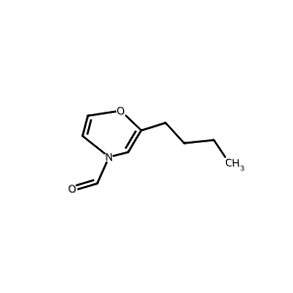 CCCCC1=CN(C=O)C=CO1